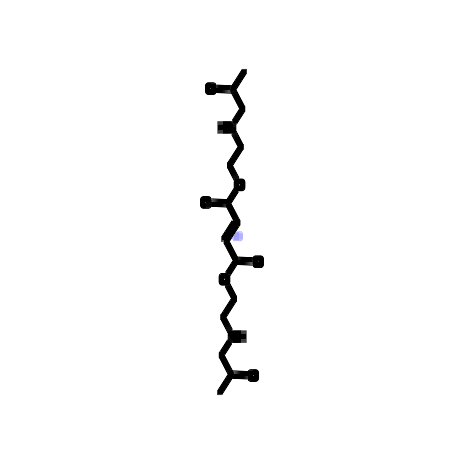 CC(=O)CNCCOC(=O)/C=C/C(=O)OCCNCC(C)=O